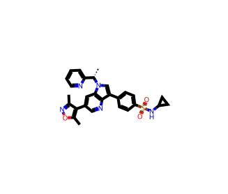 Cc1noc(C)c1-c1cnc2c(-c3ccc(S(=O)(=O)NC4CC4)cc3)cn([C@@H](C)c3ccccn3)c2c1